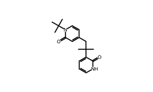 CC(C)(Cc1ccn(C(C)(C)C)c(=O)c1)c1ccc[nH]c1=O